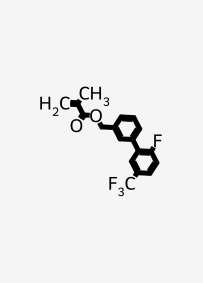 C=C(C)C(=O)OCc1cccc(-c2cc(C(F)(F)F)ccc2F)c1